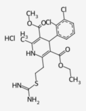 CCOC(=O)C1=C(CCSC(=N)N)NC(C)=C(C(=O)OC)C1c1cccc(Cl)c1Cl.Cl